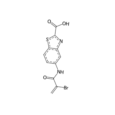 C=C(Br)C(=O)Nc1ccc2sc(C(=O)O)nc2c1